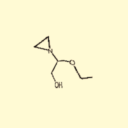 CCOC(CO)N1CC1